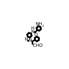 Nc1cccc(C(=O)Nc2ccc3ncn(C(CC=O)c4ccccc4)c3c2)c1